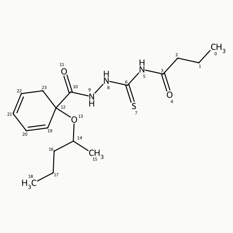 CCCC(=O)NC(=S)NNC(=O)C1(OC(C)CCC)C=CC=CC1